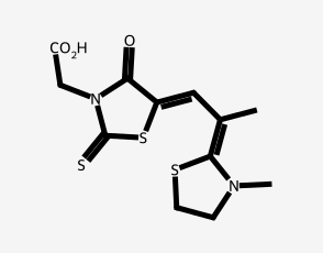 CC(C=C1SC(=S)N(CC(=O)O)C1=O)=C1SCCN1C